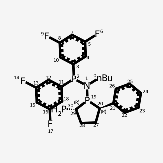 CCCCN(P(c1cc(F)cc(F)c1)c1cc(F)cc(F)c1)P1[C@@H](c2ccccc2)CC[C@@H]1P